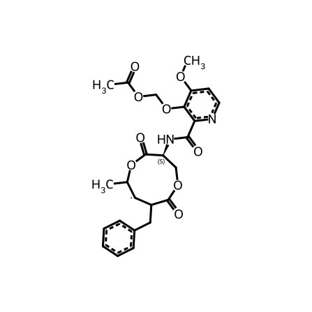 COc1ccnc(C(=O)N[C@H]2COC(=O)C(Cc3ccccc3)[CH]C(C)OC2=O)c1OCOC(C)=O